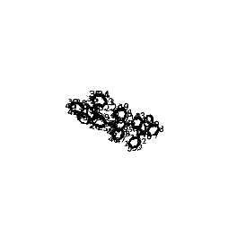 c1ccc(N2c3ccccc3Oc3ccc(-c4c5ccccc5c(-c5ccc6c(c5)N(c5ccccc5)c5ccccc5O6)c5ccccc45)cc32)cc1